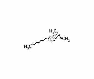 C=CC[N+](CC)(CC)CCCCCCCCCCCC